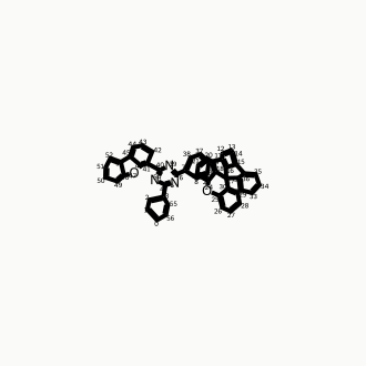 c1ccc(-c2nc(-c3ccc(-c4cccc5c4C4(c6ccccc6Oc6ccccc64)c4ccccc4-5)cc3)nc(-c3cccc4c3oc3ccccc34)n2)cc1